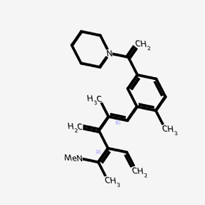 C=C/C(C(=C)/C(C)=C/c1cc(C(=C)N2CCCCC2)ccc1C)=C(\C)NC